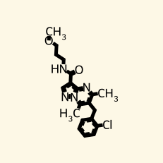 COCCCNC(=O)c1cnn2c(C)c(Cc3ccccc3Cl)c(C)nc12